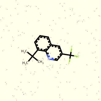 CC(C)(C)c1cccc2cc(C(F)(F)F)cnc12